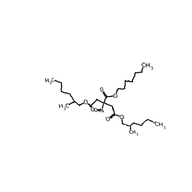 CCCCCCCOC(=O)C(CC(=O)OCC(C)CCCC)(CC(=O)OCC(C)CCCC)N=O